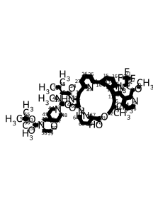 CO[C@@H](C)c1ncccc1-c1c2c3cc(ccc3n1CC(F)(F)F)-c1cccc(n1)C[C@H](NC(=O)[C@H](C(C)C)N(C)C(=O)N1CCC3(CC1)CN(C(=O)OC(C)(C)C)CCO3)C(=O)N1CCC[C@H](N1)C(=O)OCC(C)(C)C2